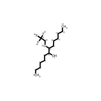 CCCCCCC(O)C(CCCCCC)OCC(F)(F)F